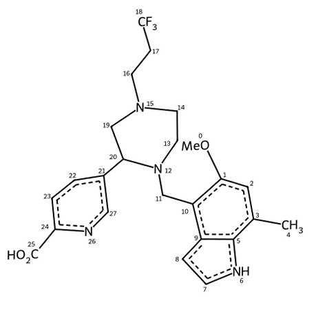 COc1cc(C)c2[nH]ccc2c1CN1CCN(CCC(F)(F)F)CC1c1ccc(C(=O)O)nc1